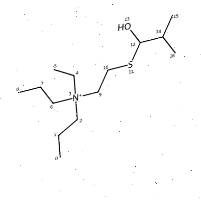 CCC[N+](CC)(CCC)CCSC(O)C(C)C